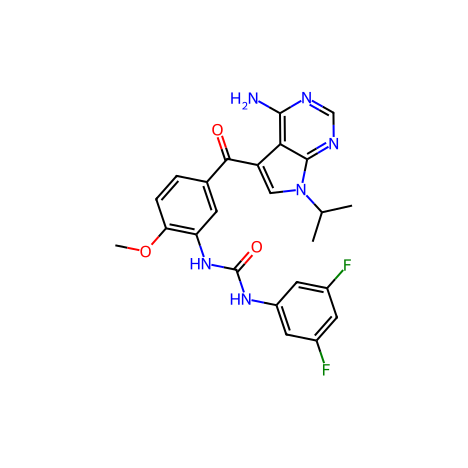 COc1ccc(C(=O)c2cn(C(C)C)c3ncnc(N)c23)cc1NC(=O)Nc1cc(F)cc(F)c1